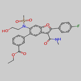 CCOC(=O)c1cccc(-c2cc3c(C(=O)NC)c(-c4ccc(F)cc4)oc3cc2N(CCO)S(C)(=O)=O)c1